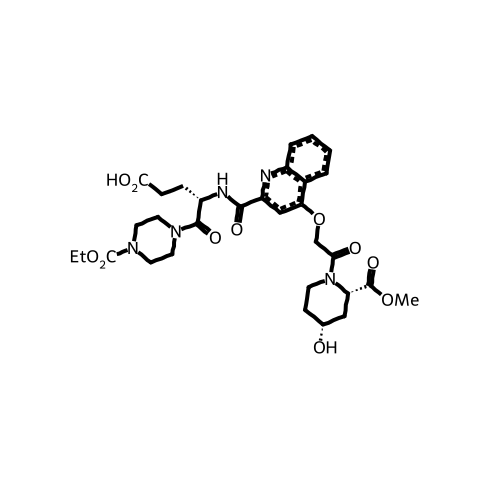 CCOC(=O)N1CCN(C(=O)[C@H](CCC(=O)O)NC(=O)c2cc(OCC(=O)N3CC[C@@H](O)C[C@H]3C(=O)OC)c3ccccc3n2)CC1